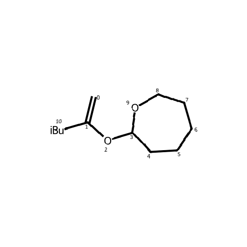 C=C(OC1CCCCCO1)C(C)CC